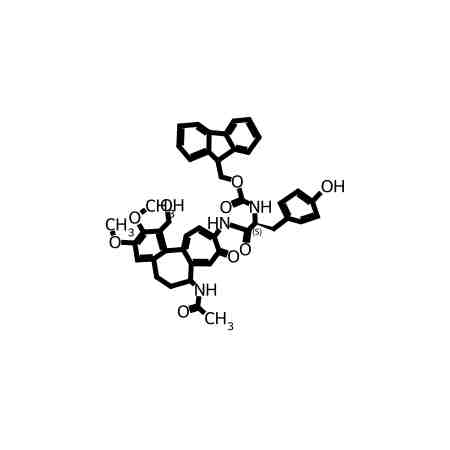 COc1cc2c(c(CO)c1OC)-c1ccc(NC(=O)[C@H](Cc3ccc(O)cc3)NC(=O)OCC3c4ccccc4-c4ccccc43)c(=O)cc1C(NC(C)=O)CC2